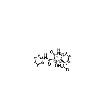 O=C(Nc1ccccc1)c1c(O)c2c(CCl)cccc2[nH]c1=O